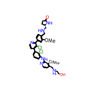 COc1cc(-c2nccc(-c3cccc(Nc4nccc(CNCCO)c4OC)c3Cl)c2Cl)ccc1CNC[C@@H]1CCC(=O)N1